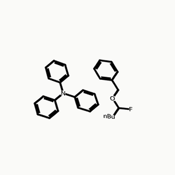 CCCCC(F)OCc1ccccc1.c1ccc(N(c2ccccc2)c2ccccc2)cc1